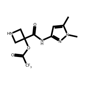 Cc1cc(NC(=O)C2(OC(=O)C(F)(F)F)CNC2)nn1C